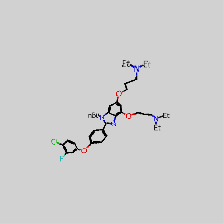 CCCCn1c(-c2ccc(Oc3ccc(Cl)c(F)c3)cc2)nc2c(OCCCN(CC)CC)cc(OCCCN(CC)CC)cc21